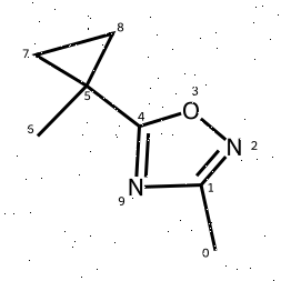 Cc1noc(C2(C)CC2)n1